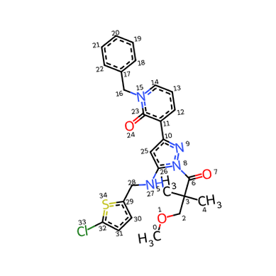 COCC(C)(C)C(=O)n1nc(-c2cccn(Cc3ccccc3)c2=O)cc1NCc1ccc(Cl)s1